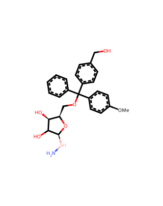 COc1ccc(C(OC[C@H]2O[C@@H](BN)C(O)[C@H]2O)(c2ccccc2)c2ccc(CO)cc2)cc1